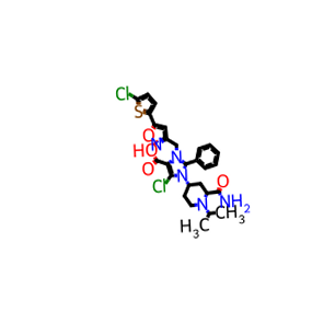 CC(C)N1CCC(N2C(Cl)=C(C(=O)O)N(Cc3cc(-c4ccc(Cl)s4)on3)C2c2ccccc2)CC1C(N)=O